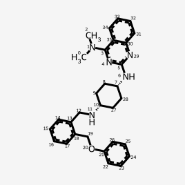 CN(C)c1nc(N[C@H]2CC[C@@H](NCc3ccccc3COc3ccccc3)CC2)nc2ccccc12